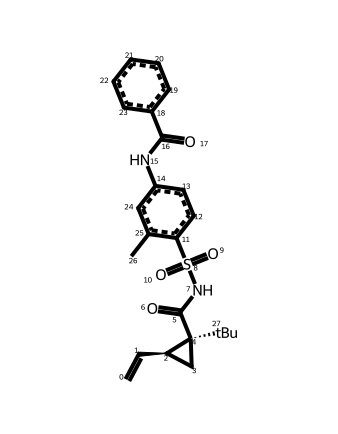 C=C[C@@H]1C[C@@]1(C(=O)NS(=O)(=O)c1ccc(NC(=O)c2ccccc2)cc1C)C(C)(C)C